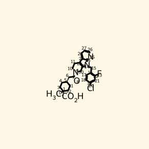 C[C@]1(C(=O)O)CC[C@@H](CC(=O)N2CCc3c(n(Cc4ccc(Cl)cc4F)c4ncccc34)C2)CC1